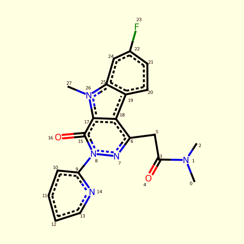 CN(C)C(=O)Cc1nn(-c2ccccn2)c(=O)c2c1c1ccc(F)cc1n2C